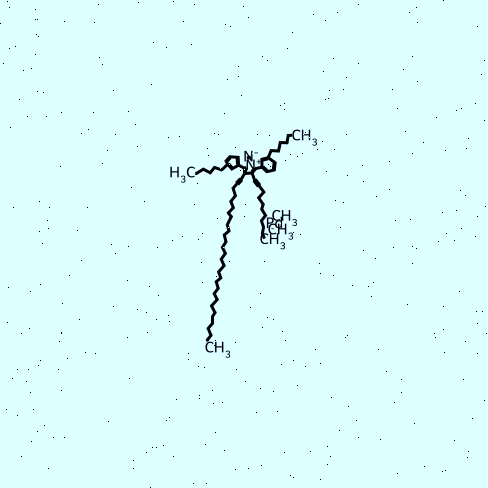 CCCCCCCCCC#CC1=C(c2cccc(CCCCCC)c2)[N+](=[N-])C(c2cccc(CCCCCC)c2)=C1C#CCCCCCCCCCCCCCCCCCCCCCCCCCCCC.[CH3][Pd][CH3]